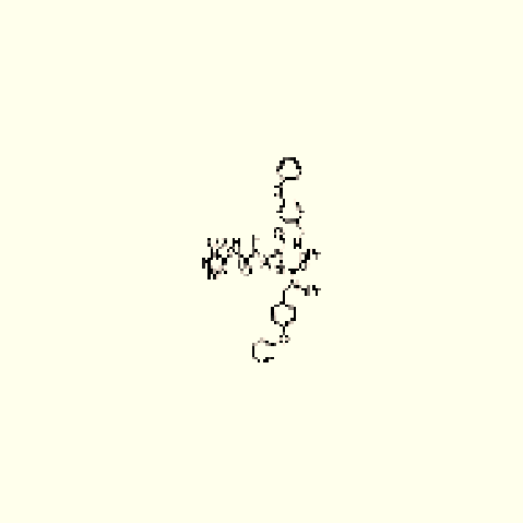 CCCN(Cc1ccc(Oc2ccccc2)cc1)C(=O)[C@H]1[C@@H](NC(=O)Nc2nnnn2C(=O)O)C[C@@H]1C(=O)N(CCC)Cc1ccc(Oc2ccccc2)cc1